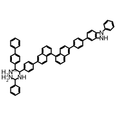 NC(NC(c1ccc(-c2ccc3c(-c4cccc5cc(-c6ccc(-c7ccc8c(c7)[nH]n8-c7ccccc7)cc6)ccc45)cccc3c2)cc1)[C@@H](N)c1ccc(-c2ccccc2)cc1)c1ccccc1